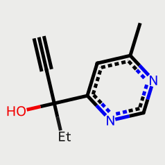 C#CC(O)(CC)c1cc(C)ncn1